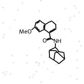 COc1ccc2c(c1)C(C(=O)NC1C3CC4CC(C3)CC1C4)=CCC2